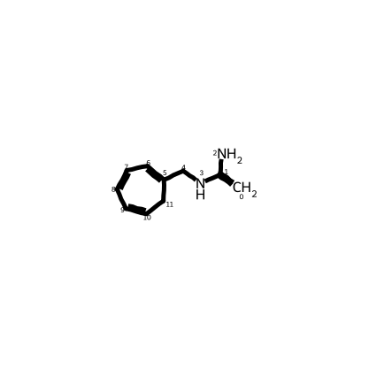 C=C(N)NCC1=CC=CC=CC1